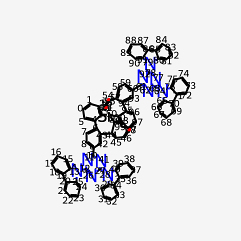 c1ccc2c(c1)-c1ccc(-c3nc(-n4c5ccccc5c5ccccc54)nc(-n4c5ccccc5c5ccccc54)n3)cc1-c1ccccc1[Si]21c2ccccc2-c2ccc(-c3nc(-n4c5ccccc5c5ccccc54)nc(-n4c5ccccc5c5ccccc54)n3)cc2-c2ccccc21